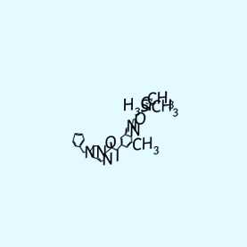 Cc1cc(C(I)C(=O)c2ncc3n2CCN(Cc2ccccc2)C3)cc2cn(COCC[Si](C)(C)C)nc12